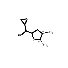 C[C@@H]1CC(C(O)C2CO2)O[C@H]1C